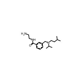 CC(C)CCN(Cc1cccc(C(=O)NCCN)c1)C(C)C